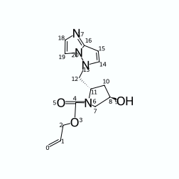 C=CCOC(=O)N1C[C@H](O)C[C@H]1Cn1ccc2nccn21